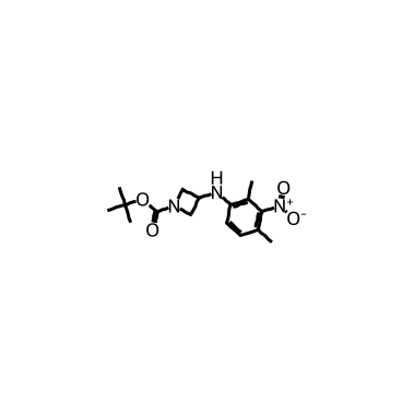 Cc1ccc(NC2CN(C(=O)OC(C)(C)C)C2)c(C)c1[N+](=O)[O-]